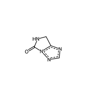 O=C1NCc2ncnn21